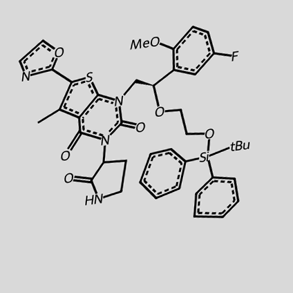 COc1ccc(F)cc1[C@H](Cn1c(=O)n(C2CCNC2=O)c(=O)c2c(C)c(-c3ncco3)sc21)OCCO[Si](c1ccccc1)(c1ccccc1)C(C)(C)C